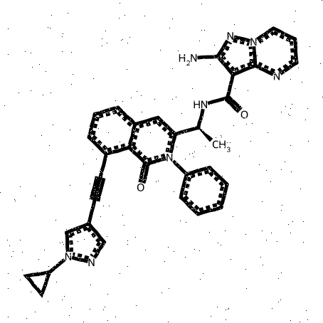 C[C@H](NC(=O)c1c(N)nn2cccnc12)c1cc2cccc(C#Cc3cnn(C4CC4)c3)c2c(=O)n1-c1ccccc1